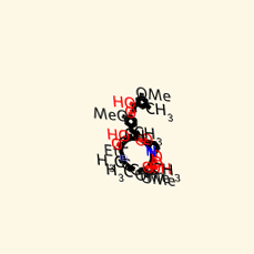 CCC1/C=C(\C)CC(C)CC(OC)C2OC(O)(C(=O)C(=O)N3CCCCC3C(=O)OC(C(C)=CC3CCC(OCC(O)c4cc(C)cc(OC)c4)C(OC)C3)C(C)C(O)CC1=O)C(C)CC2OC